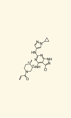 C=CC(=O)N1CC[C@@H](C)[C@@H](Nc2nc(Nc3cnn(C4CC4)c3)nc3[nH]nc(Cl)c23)C1